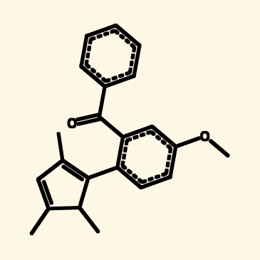 COc1ccc(C2=C(C)C=C(C)C2C)c(C(=O)c2ccccc2)c1